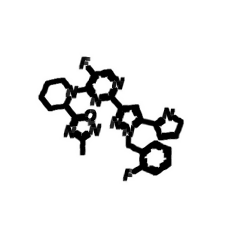 Cc1noc(C2CCCCN2c2nc(-c3cc(C4=NCC=C4)n(Cc4ccccc4F)n3)ncc2F)n1